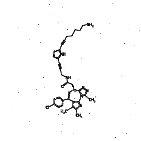 Cc1sc2c(c1C)C(c1ccc(Cl)cc1)=N[C@@H](CC(=O)NCC#Cc1ccc(C#CCCCCCN)[nH]1)c1nnc(C)n1-2